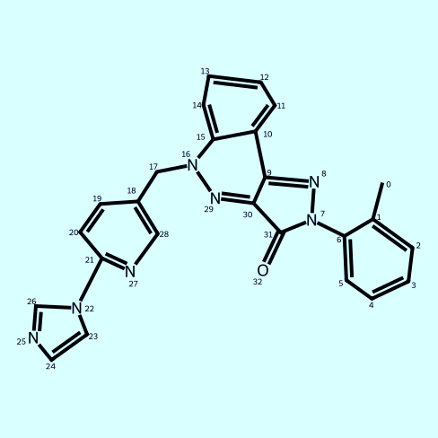 Cc1ccccc1-n1nc2c3ccccc3n(Cc3ccc(-n4ccnc4)nc3)nc-2c1=O